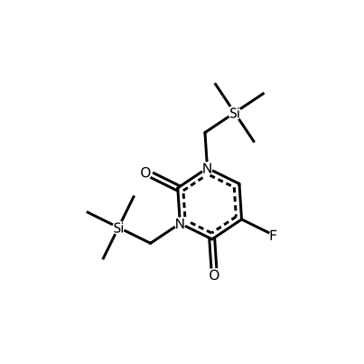 C[Si](C)(C)Cn1cc(F)c(=O)n(C[Si](C)(C)C)c1=O